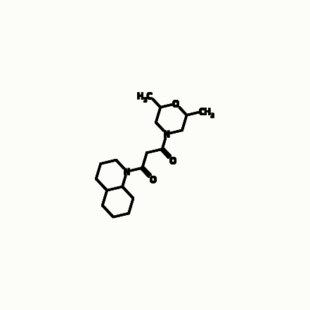 CC1CN(C(=O)CC(=O)N2CCCC3CCCCC32)CC(C)O1